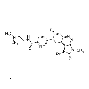 CC(C)n1c(=O)n(C)c2nnc3cc(F)c(-c4ccc(C(=O)NCCN(C)C)nc4)cc3c21